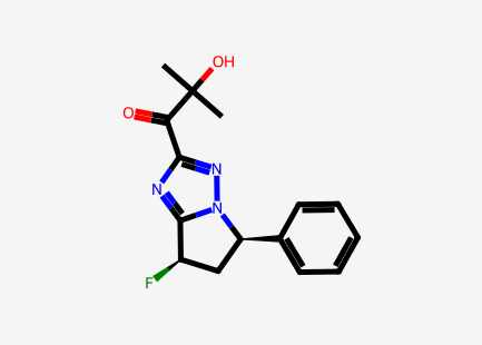 CC(C)(O)C(=O)c1nc2n(n1)[C@@H](c1ccccc1)C[C@H]2F